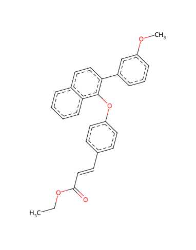 CCOC(=O)C=Cc1ccc(Oc2c(-c3cccc(OC)c3)ccc3ccccc23)cc1